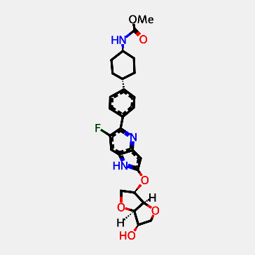 COC(=O)N[C@H]1CC[C@H](c2ccc(-c3nc4cc(O[C@@H]5CO[C@H]6[C@@H]5OC[C@H]6O)[nH]c4cc3F)cc2)CC1